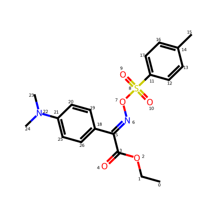 CCOC(=O)/C(=N/OS(=O)(=O)c1ccc(C)cc1)c1ccc(N(C)C)cc1